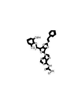 CCNC(=O)Nc1ncnc2c1ncn2C1OC(COc2c(OC)cccc2C(=O)O)C2O[C@H](/C=C/c3ccccc3)OC21